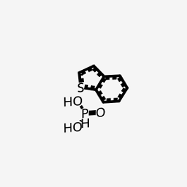 O=[PH](O)O.c1ccc2sccc2c1